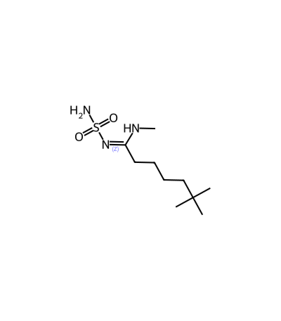 CN/C(CCCCC(C)(C)C)=N\S(N)(=O)=O